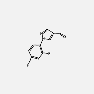 O=Cc1cnn(-c2ccc(F)cc2F)c1